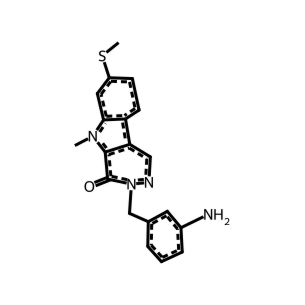 CSc1ccc2c3cnn(Cc4cccc(N)c4)c(=O)c3n(C)c2c1